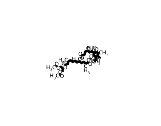 COC(=O)CC/C(C)=C/Cc1c(OC)c(C)c2c(c1OC(C)OC(=O)C(C)CCCCCCCC(C)CC(=O)OC(COC(C)=O)COC(C)=O)C(=O)OC2